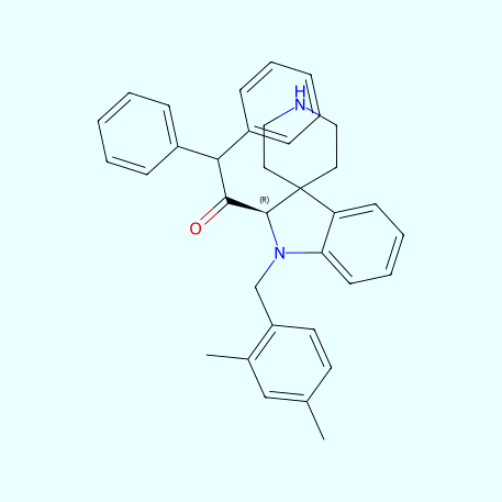 Cc1ccc(CN2c3ccccc3C3(CCNCC3)[C@@H]2C(=O)C(c2ccccc2)c2ccccc2)c(C)c1